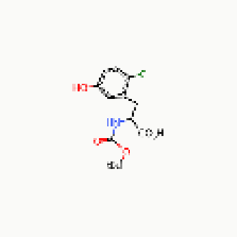 CC(C)(C)OC(=O)NC(Cc1cc(O)ccc1Cl)C(=O)O